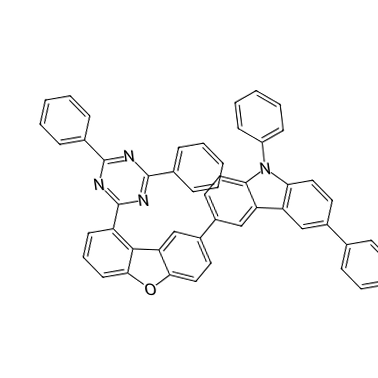 c1ccc(-c2ccc3c(c2)c2cc(-c4ccc5oc6cccc(-c7nc(-c8ccccc8)nc(-c8ccccc8)n7)c6c5c4)ccc2n3-c2ccccc2)cc1